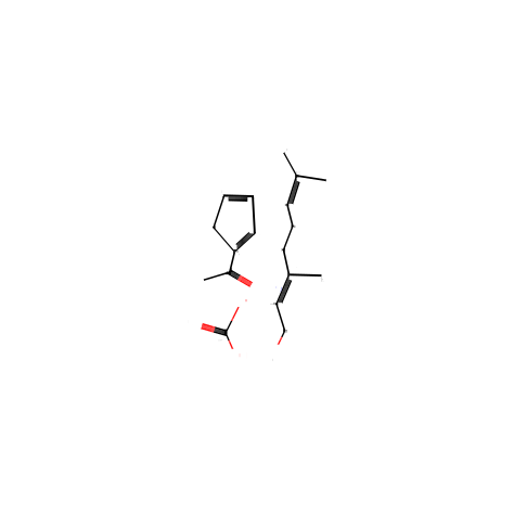 CC(=O)C1=CC=CC1.CC(C)=CCC/C(C)=C/CO.O=C(O)O